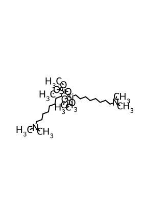 CO[Si](CCCCCCCCN(C)C)(OC)O[Si](CCCCCCCCN(C)C)(OC)OC